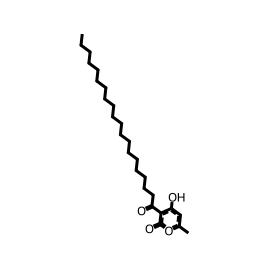 CCCCCCCCCCCCCCCCCCCC(=O)c1c(O)cc(C)oc1=O